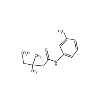 Cc1cccc(NC(=O)CC(C)(C)CC(=O)O)c1